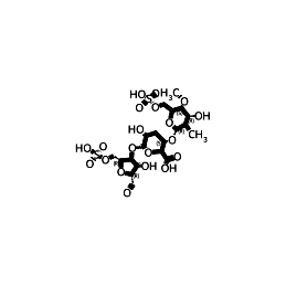 CO[C@@H]1C(COS(=O)(=O)O)O[C@@H](O[C@H]2CC(O)[C@H](OC3[C@@H](O)[C@H](C=O)O[C@@H]3COS(=O)(=O)O)OC2C(=O)O)C(C)[C@H]1O